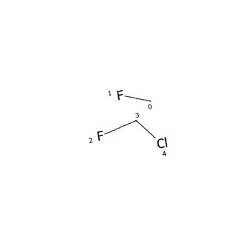 CF.FCCl